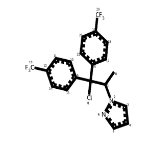 CC(n1cccn1)C(Cl)(c1ccc(C(F)(F)F)cc1)c1ccc(C(F)(F)F)cc1